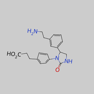 NCCc1cccc(C2CNC(=O)N2c2ccc(CCC(=O)O)cc2)c1